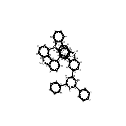 c1ccc(-c2nc(-c3ccccc3)nc(-c3ccc4sc5cccc(-c6cccc7oc8cccc(-n9c%10ccccc%10c%10ccccc%109)c8c67)c5c4c3)n2)cc1